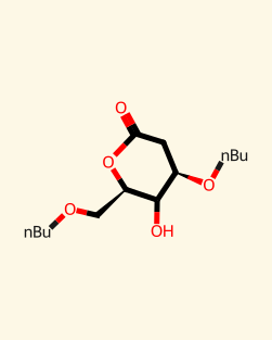 CCCCOC[C@H]1OC(=O)C[C@@H](OCCCC)C1O